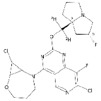 [2H]C([2H])(Oc1nc(N2CCCOC3C(Cl)C32)c2cnc(Cl)c(F)c2n1)[C@@]12CCCN1C[C@H](F)C2